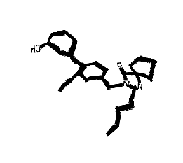 CCCCC1=NC2(CCCC2)C(=O)N1Cc1ccc(-c2cccc(O)c2)c(CC)c1